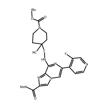 CNC(=O)c1cn2cc(-c3ccncc3F)nc(NCC3(C#N)CCN(C(=O)OC(C)(C)C)CC3)c2n1